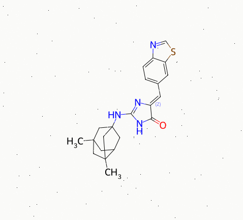 CC12CC3CC(NC4=N/C(=C\c5ccc6ncsc6c5)C(=O)N4)(C1)CC3(C)C2